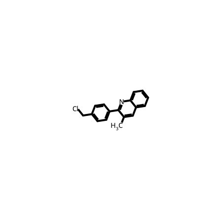 Cc1cc2ccccc2nc1-c1ccc(CCl)cc1